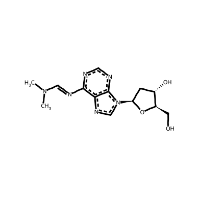 CN(C)C=Nc1ncnc2c1ncn2[C@H]1C[C@H](O)[C@@H](CO)O1